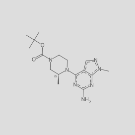 C[C@H]1CN(C(=O)OC(C)(C)C)CCN1c1nc(N)nc2c1cnn2C